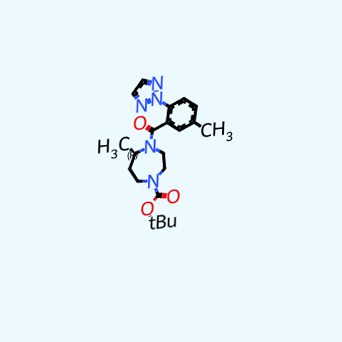 Cc1ccc(-n2nccn2)c(C(=O)N2CCN(C(=O)OC(C)(C)C)CC[C@H]2C)c1